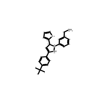 CC(C)(C)c1ccc(C2=CC(c3cccs3)N(c3cccc(CN)c3)N2)cc1